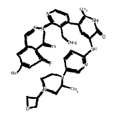 Cc1[nH]c(=O)c(Nc2ccc(N3CCN(C4COC4)CC3C)cn2)cc1-c1ccnc(-n2ncc3cc(C(C)(C)C)cc(F)c3c2=O)c1CO